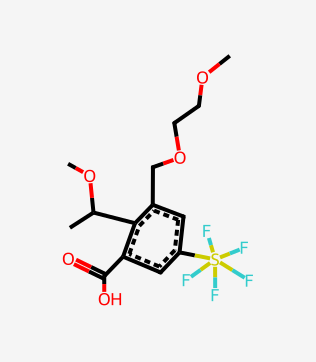 COCCOCc1cc(S(F)(F)(F)(F)F)cc(C(=O)O)c1C(C)OC